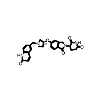 O=C1CCC(N2Cc3cc(O[C@H]4CCN(Cc5ccc6[nH]c(=O)ccc6c5)C4)ccc3C2=O)C(=O)N1